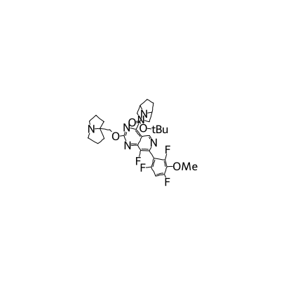 COc1c(F)cc(F)c(-c2ncc3c(N4CC5CCC(C4)N5C(=O)OC(C)(C)C)nc(OCC45CCCN4CCC5)nc3c2F)c1F